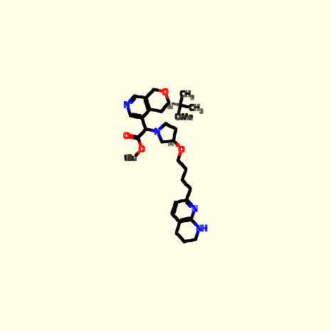 COC(C)(C)[C@@H]1Cc2c(cncc2C(C(=O)OC(C)(C)C)N2CC[C@@H](OCCCCc3ccc4c(n3)NCCC4)C2)CO1